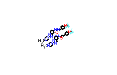 CN1CCCN(c2ncc3cc(NC(=O)CCc4ccc(OC(F)(F)F)cc4)ccc3n2)CC1.CN1CCN(c2ncc3cc(NC(=O)CCc4ccc(OC(F)(F)F)cc4)ccc3n2)CC1